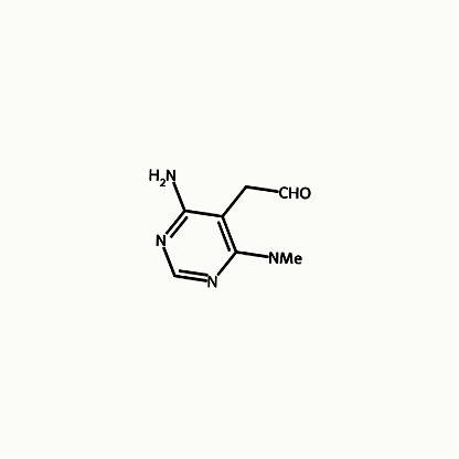 CNc1ncnc(N)c1CC=O